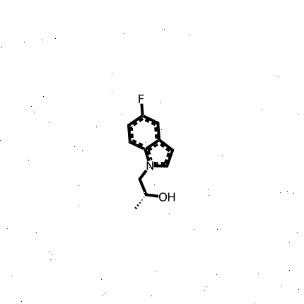 C[C@@H](O)Cn1ccc2cc(F)ccc21